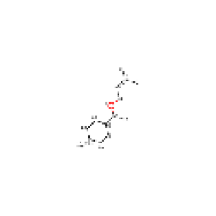 CC(C)=CCOC(C)C1CCC(C)CC1